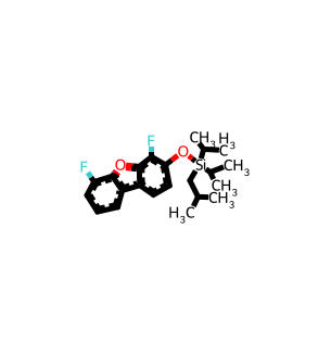 CC(C)C[Si](Oc1ccc2c(oc3c(F)cccc32)c1F)(C(C)C)C(C)C